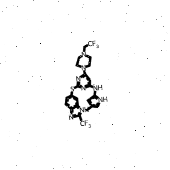 Cc1c[nH]c(Nc2cc(N3CCN(CC(F)(F)F)CC3)nc(Sc3ccc4nc(C(F)(F)F)[nH]c4c3)n2)c1